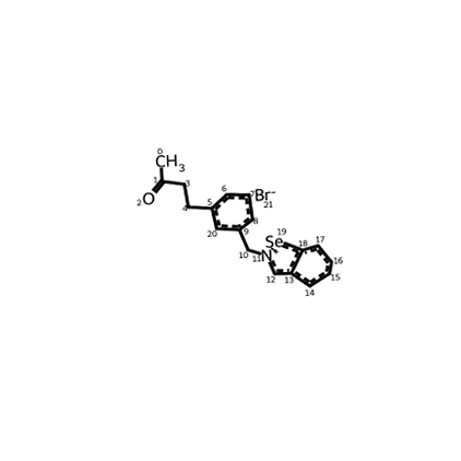 CC(=O)CCc1cccc(C[n+]2cc3ccccc3[se]2)c1.[Br-]